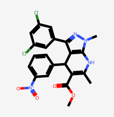 COC(=O)C1=C(C)Nc2c(c(-c3cc(Cl)cc(Cl)c3)nn2C)C1c1cccc([N+](=O)[O-])c1